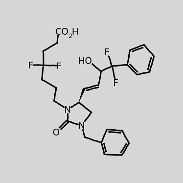 O=C(O)CCC(F)(F)CCCN1C(=O)N(Cc2ccccc2)C[C@@H]1C=CC(O)C(F)(F)c1ccccc1